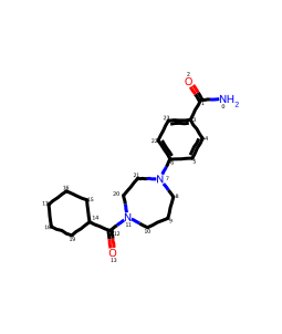 NC(=O)c1ccc(N2CCCN(C(=O)C3CCCCC3)CC2)cc1